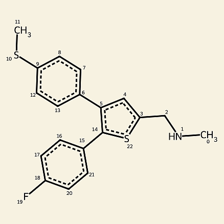 CNCc1cc(-c2ccc(SC)cc2)c(-c2ccc(F)cc2)s1